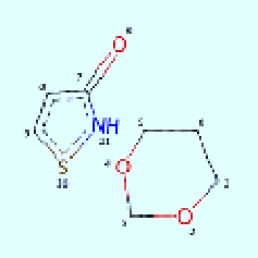 C1COCOC1.O=c1ccs[nH]1